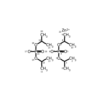 CC(C)OP(=O)([O-])OC(C)C.CC(C)OP(=O)([O-])OC(C)C.[Zn+2]